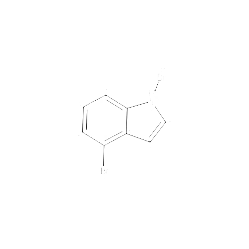 Brc1cccc2c1C=C[SH]2Br